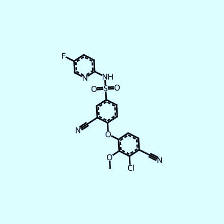 COc1c(Oc2ccc(S(=O)(=O)Nc3ccc(F)cn3)cc2C#N)ccc(C#N)c1Cl